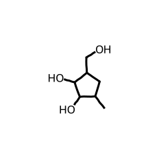 CC1CC(CO)C(O)C1O